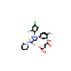 O=C(NN1CCCCC1)C1=NN(c2ccc(Cl)cc2Cl)[C@@H](c2ccc(Cl)cc2)C1.O=C(O)C=CC(=O)O